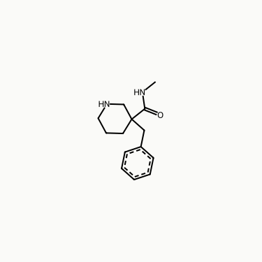 CNC(=O)C1(Cc2ccccc2)CCCNC1